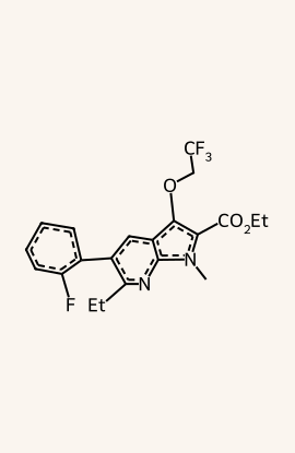 CCOC(=O)c1c(OCC(F)(F)F)c2cc(-c3ccccc3F)c(CC)nc2n1C